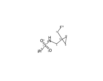 CC(C)S(=O)(=O)NCC1(CF)CC1